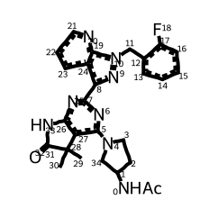 CC(=O)NC1CCN(c2nc(-c3nn(Cc4ccccc4F)c4ncccc34)nc3c2C(C)(C)C(=O)N3)C1